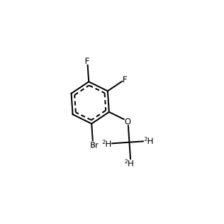 [2H]C([2H])([2H])Oc1c(Br)ccc(F)c1F